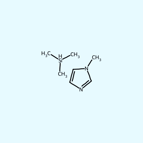 C[SiH](C)C.Cn1ccnc1